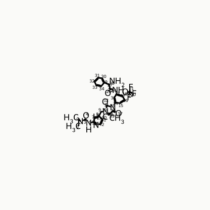 CN(C)C(=O)Nc1cc(CN2C(=O)N(c3ccc(OC(F)(F)F)c(NC(=O)[C@H](N)c4ccccc4)c3)C(=O)C2(C)C)ccn1